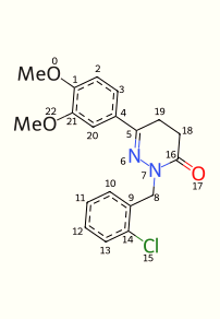 COc1ccc(C2=NN(Cc3ccccc3Cl)C(=O)CC2)cc1OC